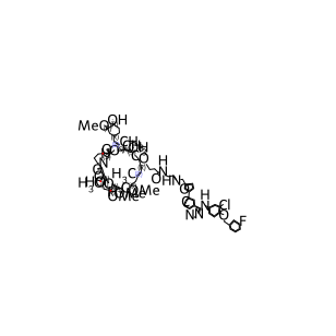 CO[C@H]1C/C(C)=C/[C@@H](CCCC(=O)NCCNCc2ccc(-c3ccc4ncnc(Nc5ccc(OCc6cccc(F)c6)c(Cl)c5)c4c3)o2)C(=O)C[C@H](O)[C@@H](C)[C@@H](/C(C)=C/[C@@H]2CC[C@@H](O)[C@H](OC)C2)OC(=O)[C@@H]2CCCCN2C(=O)C(=O)[C@]2(O)O[C@H]([C@@H](OC)C1)[C@@H](OC)C[C@H]2C